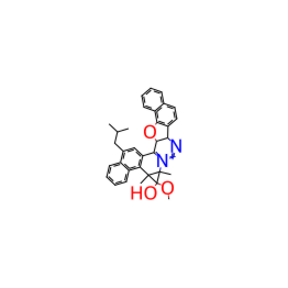 COC1(O)C2(C)c3c(cc(CC(C)C)c4ccccc34)C3=[N+](C=NC4c5ccc6ccccc6c5OC34)C12C